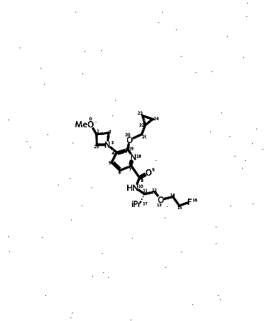 COC1CN(c2ccc(C(=O)N[C@H](COCCF)C(C)C)nc2OCC2CC2)C1